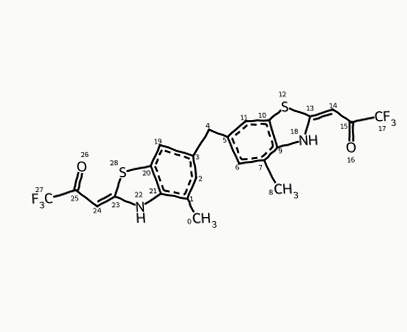 Cc1cc(Cc2cc(C)c3c(c2)SC(=CC(=O)C(F)(F)F)N3)cc2c1NC(=CC(=O)C(F)(F)F)S2